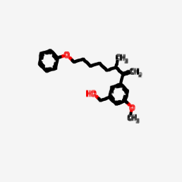 C=C(c1cc(CO)cc(OC)c1)C(C)CCCCCOc1ccccc1